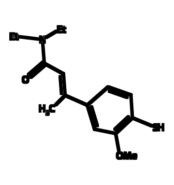 CCN(CC)C(=O)/C=C(\C)c1ccc(S)c(OC)c1